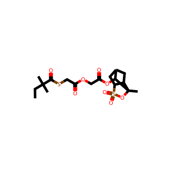 CCC(C)(C)C(=O)SCC(=O)OCC(=O)OC1C2CC3C(C2)S(=O)(=O)OC31C